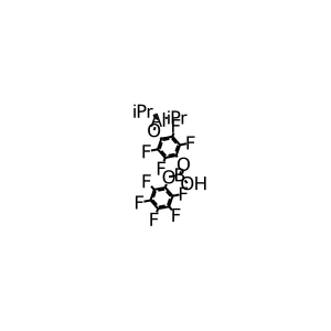 C[CH](C)[Al]([O]c1c(F)c(F)c(OB(O)Oc2c(F)c(F)c(F)c(F)c2F)c(F)c1F)[CH](C)C